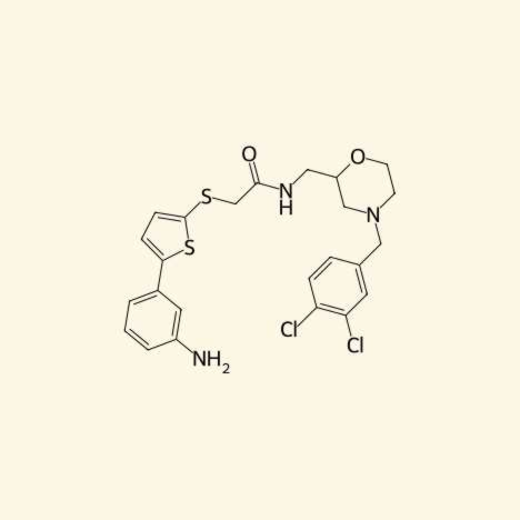 Nc1cccc(-c2ccc(SCC(=O)NCC3CN(Cc4ccc(Cl)c(Cl)c4)CCO3)s2)c1